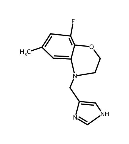 Cc1cc(F)c2c(c1)N(Cc1c[nH]cn1)CCO2